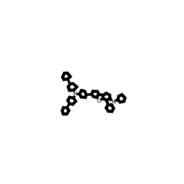 c1ccc(-c2ccc(N(c3ccc(-c4ccccc4)cc3)c3ccc(-c4ccc5c(c4)oc4c5ccc5c4c4ccccc4n5-c4ccccc4)cc3)cc2)cc1